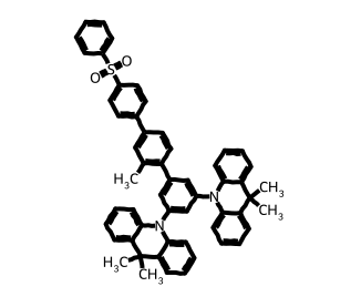 Cc1cc(-c2ccc(S(=O)(=O)c3ccccc3)cc2)ccc1-c1cc(N2c3ccccc3C(C)(C)c3ccccc32)cc(N2c3ccccc3C(C)(C)c3ccccc32)c1